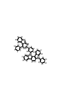 c1ccc(-c2nc(-c3cccc(-n4c5ccccc5c5ccc6c(c7ccccc7n6-c6ccccc6)c54)c3)nc3sc4ccccc4c23)cc1